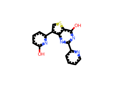 Oc1cccc(-c2csc3c(O)nc(-c4ccccn4)nc23)n1